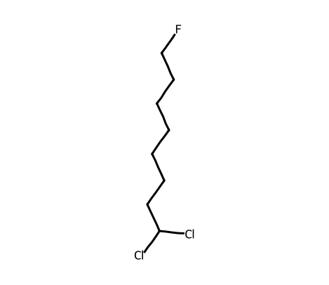 FCCCCCCCC(Cl)Cl